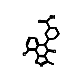 Cc1noc2c1c(=O)n(C1CCCC(C(=O)O)C1)c1cccc(Cl)c21